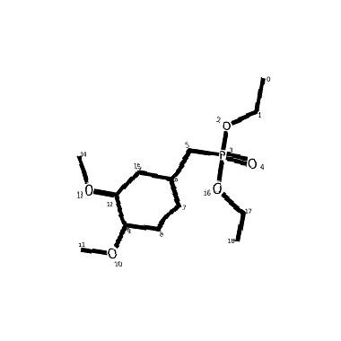 CCOP(=O)(CC1CCC(OC)C(OC)C1)OCC